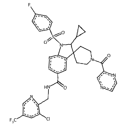 O=C(NCc1ncc(C(F)(F)F)cc1Cl)c1ccc2c(c1)C1(CCN(C(=O)c3cnccn3)CC1)C(C1CC1)N2S(=O)(=O)c1ccc(F)cc1